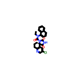 CCN(C(=O)N1C(=O)NC(=O)[C@@]12CCCc1ncc(Cl)cc12)c1cccc2ccccc12